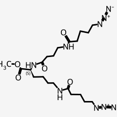 COC(=O)[C@H](CCCCNC(=O)CCCCN=[N+]=[N-])NC(=O)CCCNC(=O)CCCCN=[N+]=[N-]